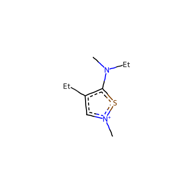 CCc1c[n+](C)sc1N(C)CC